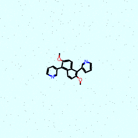 COc1ccc2c(-c3cccnc3)c(OC)ccc2c1-c1cccnc1